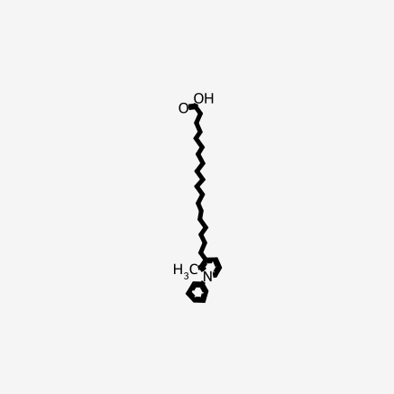 Cc1c(CCCCCCCCCCCCCCCCCCC(=O)O)ccc[n+]1-c1ccccc1